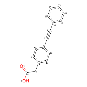 O=C(O)Cc1ccc(C#Cc2ccccc2)cc1